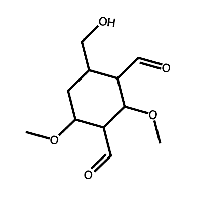 COC1CC(CO)C(C=O)C(OC)C1C=O